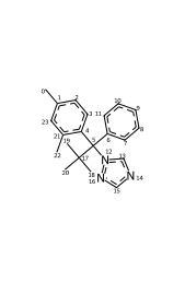 Cc1ccc(C(c2ccccc2)(n2cncn2)C(C)(C)C)c(C)c1